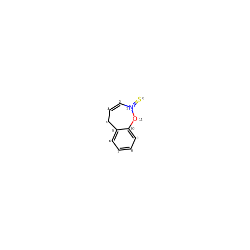 S=[N+]1C=CCc2ccccc2O1